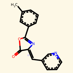 Cc1cccc(C2=N/C(=C\c3cccnc3)C(=O)O2)c1